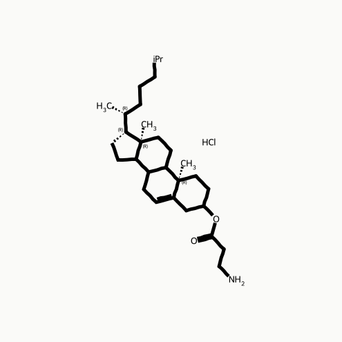 CC(C)CCC[C@@H](C)[C@H]1CCC2C3CC=C4CC(OC(=O)CCN)CC[C@]4(C)C3CC[C@@]21C.Cl